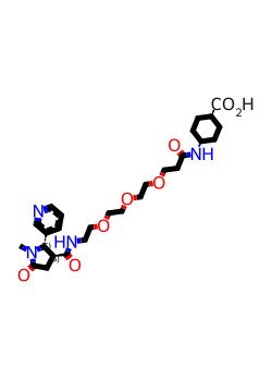 CN1C(=O)C[C@H](C(=O)NCCOCCOCCOCCC(=O)N[C@H]2CC[C@@H](C(=O)O)CC2)[C@H]1c1cccnc1